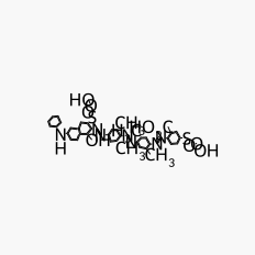 Cc1cc(N=Nc2c(C)cc(N=Nc3c(SOOO)cc4cc(Nc5ccccc5)ccc4c3O)cc2C)c(C)cc1N=Nc1ccc(SOOO)cc1C(=O)O